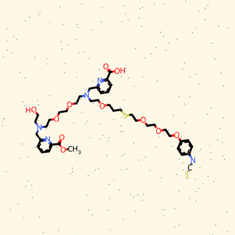 COC(=O)c1cccc(CN(CCO)CCOCCOCCN(CCOCCCSCCOCCOCCOc2ccc(N=C=S)cc2)Cc2cccc(C(=O)O)n2)n1